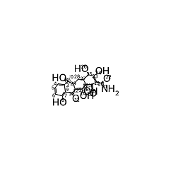 C[C@@]1(O)c2cccc(O)c2C(=O)C2=C(O)[C@]3(O)C(=O)C(C(N)=O)=C(O)C(O)C3CC21